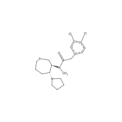 CN(C(=O)Cc1ccc(Cl)c(Cl)c1)[C@@H]1CSCCC[C@H]1N1CCCC1